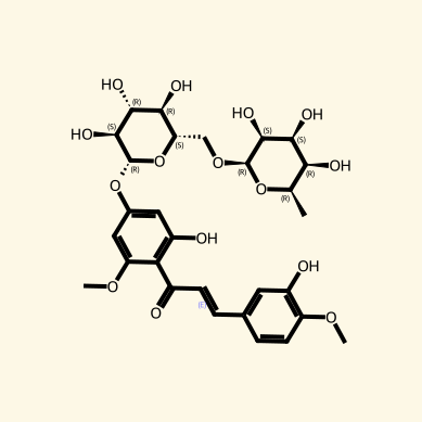 COc1ccc(/C=C/C(=O)c2c(O)cc(O[C@H]3O[C@@H](CO[C@@H]4O[C@H](C)[C@H](O)[C@H](O)[C@@H]4O)[C@H](O)[C@@H](O)[C@@H]3O)cc2OC)cc1O